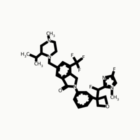 CC(C)C1CN(C)CCN1Cc1cc2c(c(C(F)(F)F)c1)CN(c1cccc(C3(C(F)c4nc(F)cn4C)COC3)c1)C2=O